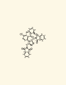 O=C(c1cc(Cl)ccc1-n1c(CN2C(=O)c3ccccc3C2=O)nnc1CN1C(=O)c2ccccc2C1=O)c1c(F)cccc1F